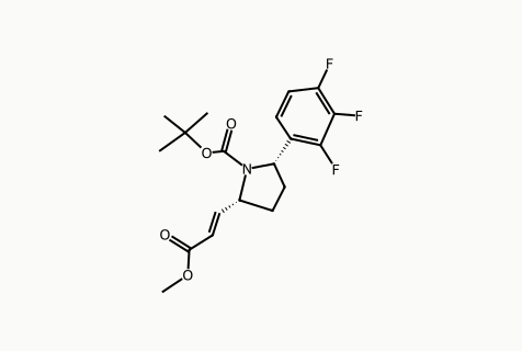 COC(=O)/C=C/[C@H]1CC[C@@H](c2ccc(F)c(F)c2F)N1C(=O)OC(C)(C)C